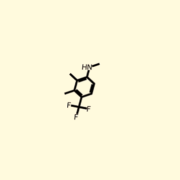 CNc1ccc(C(F)(F)F)c(C)c1C